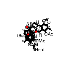 CCCCCCCC(=O)Oc1cc2c(cc1OC)[C@@]1(CS[C@@H]3c4c(OC(C)=O)c(C)c5c(c4[C@H](COC1=O)N1C3[C@H]3c4c(cc(C)c(OC)c4O)C[C@@H]([C@@H]1C#N)N3C(=O)OC(C)(C)C)OCO5)NCC2